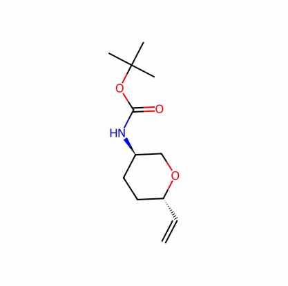 C=C[C@@H]1CC[C@@H](NC(=O)OC(C)(C)C)CO1